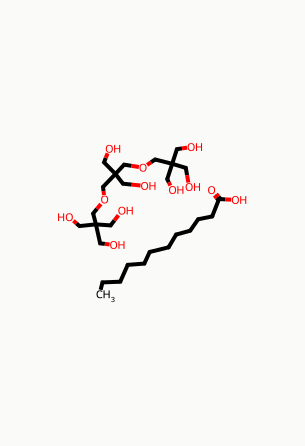 CCCCCCCCCCCC(=O)O.OCC(CO)(CO)COCC(CO)(CO)COCC(CO)(CO)CO